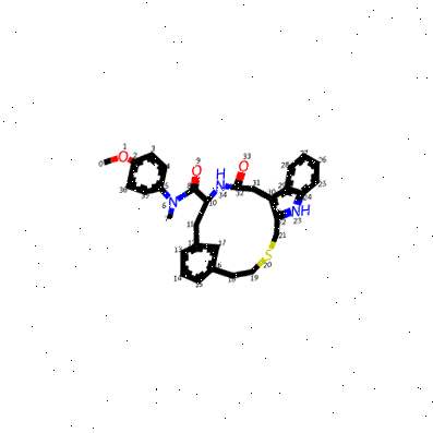 COc1ccc(N(C)C(=O)C2Cc3cccc(c3)CCSCc3[nH]c4ccccc4c3CC(=O)N2)cc1